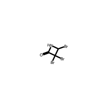 O=C1NC(Br)C1(Br)Br